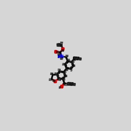 COC(=O)c1cc(-c2ccc(OC)c(CNC(=O)OC(C)(C)C)c2)cc2c1OCC2